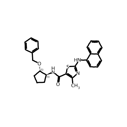 Cc1nc(Nc2cccc3ccccc23)sc1C(=O)N[C@H]1CCC[C@@H]1OCc1ccccc1